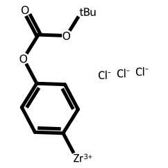 CC(C)(C)OC(=O)Oc1cc[c]([Zr+3])cc1.[Cl-].[Cl-].[Cl-]